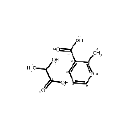 CC(O)C(=O)O.Cc1ncccc1C(=O)O